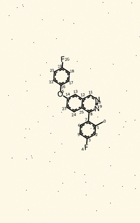 Cc1cc(F)ccc1-c1nncc2cc(Oc3ccc(F)cc3)ccc12